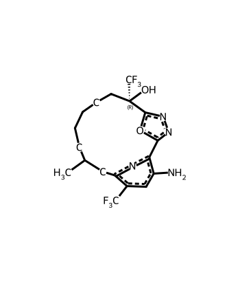 CC1CCCCC[C@](O)(C(F)(F)F)c2nnc(o2)-c2nc(c(C(F)(F)F)cc2N)C1